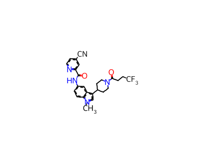 Cn1cc(C2CCN(C(=O)CCC(F)(F)F)CC2)c2cc(NC(=O)c3cc(C#N)ccn3)ccc21